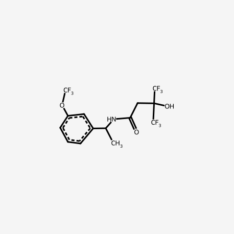 CC(NC(=O)CC(O)(C(F)(F)F)C(F)(F)F)c1cccc(OC(F)(F)F)c1